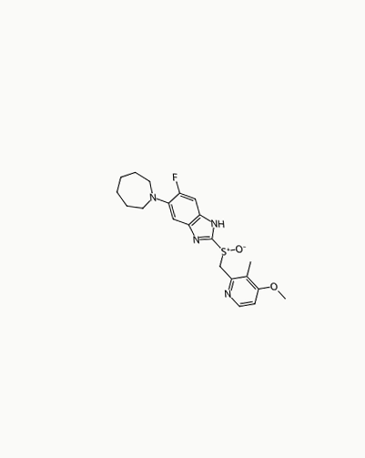 COc1ccnc(C[S+]([O-])c2nc3cc(N4CCCCCC4)c(F)cc3[nH]2)c1C